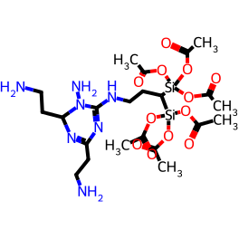 CC(=O)O[Si](OC(C)=O)(OC(C)=O)C(CCNC1=NC(CCN)=NC(CCN)N1N)[Si](OC(C)=O)(OC(C)=O)OC(C)=O